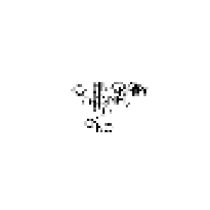 Cc1ccc(CN2C(=O)N(C[C@H](C)C(=O)N=O)C(=O)N(N)C2NC2=CNC(OC(C)C)C=C2)cc1